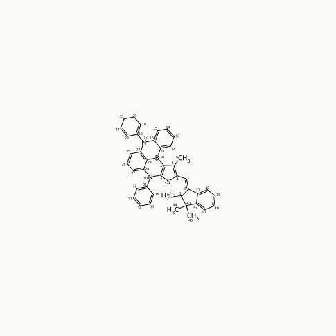 C=C1/C(=C\c2sc3c(c2C)B2c4ccccc4N(C4=CCCC=C4)c4cccc(c42)N3c2ccccc2)c2ccccc2C1(C)C